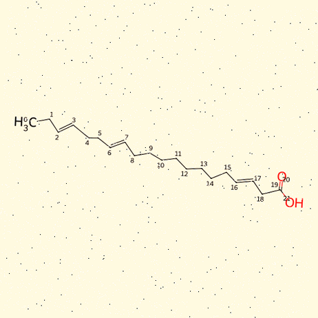 CCC=CCCC=CCCCCCCCCC=CCC(=O)O